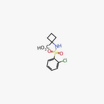 O=C(O)C1(NS(=O)(=O)c2ccccc2Cl)CCC1